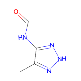 Cc1n[nH]nc1NC=O